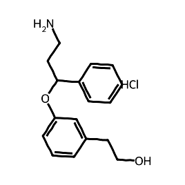 Cl.NCCC(Oc1cccc(CCO)c1)c1ccccc1